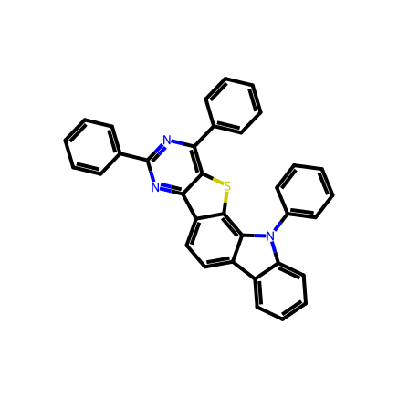 c1ccc(-c2nc(-c3ccccc3)c3sc4c(ccc5c6ccccc6n(-c6ccccc6)c54)c3n2)cc1